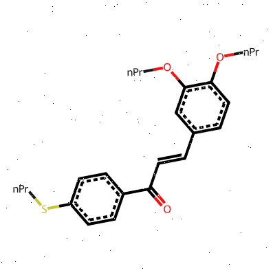 CCCOc1ccc(C=CC(=O)c2ccc(SCCC)cc2)cc1OCCC